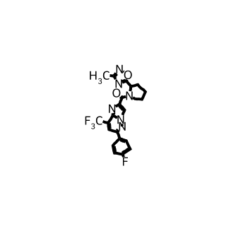 Cc1noc(C2CCCCN2C(=O)c2cn3nc(-c4ccc(F)cc4)cc(C(F)(F)F)c3n2)n1